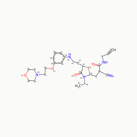 C#CCNC(=O)C(C#N)CC1SC(CCNc2cccc(OCCN3CCOCC3)c2)C(=O)N1CC